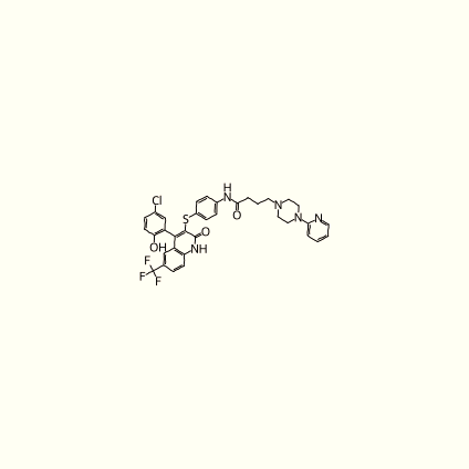 O=C(CCCN1CCN(c2ccccn2)CC1)Nc1ccc(Sc2c(-c3cc(Cl)ccc3O)c3cc(C(F)(F)F)ccc3[nH]c2=O)cc1